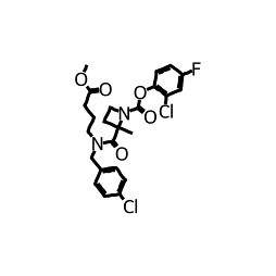 COC(=O)CCCN(Cc1ccc(Cl)cc1)C(=O)C1(C)CCN1C(=O)Oc1ccc(F)cc1Cl